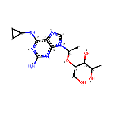 CC(O)[C@H](O)[C@@H](CO)O[C@H](C)n1cnc2c(NC3CC3)nc(N)nc21